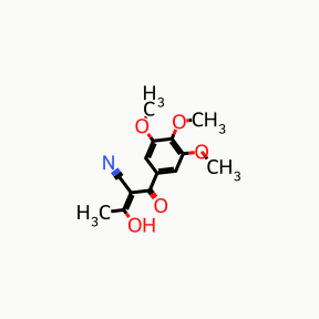 COc1cc(C(=O)/C(C#N)=C(/C)O)cc(OC)c1OC